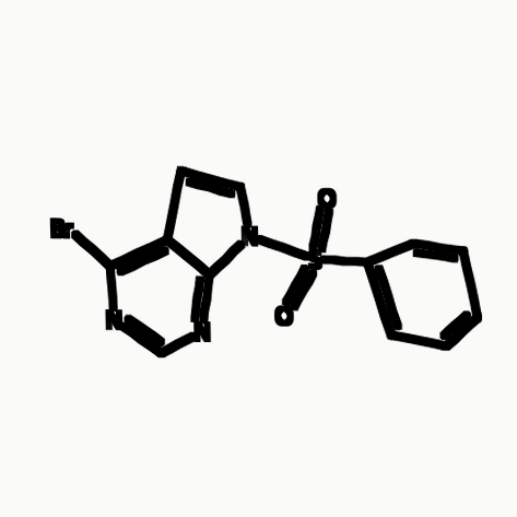 O=S(=O)(c1ccccc1)n1ccc2c(Br)ncnc21